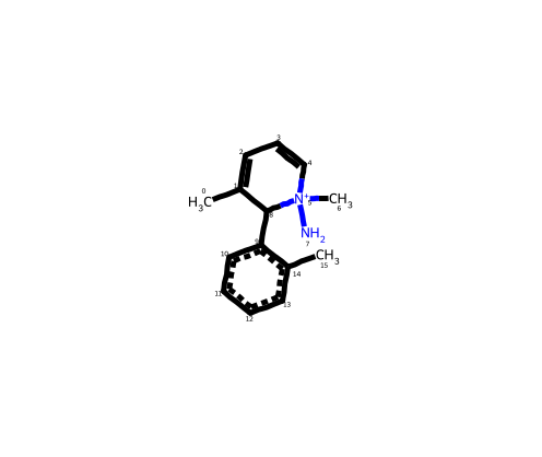 CC1=CC=C[N+](C)(N)C1c1ccccc1C